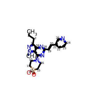 CCCc1nn(C)c2c(N3CCS(=O)(=O)CC3)nc(/C=C/c3cccnc3)nc12